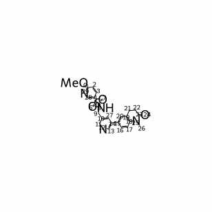 COc1ccc(S(=O)(=O)NCc2cncc(-c3ccc4c(c3)CCC(=O)N4C)c2)cn1